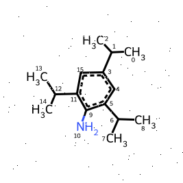 CC(C)c1cc(C(C)C)c(N)c(C(C)C)c1